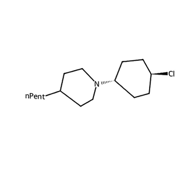 CCCCCC1CCN([C@H]2CC[C@H](Cl)CC2)CC1